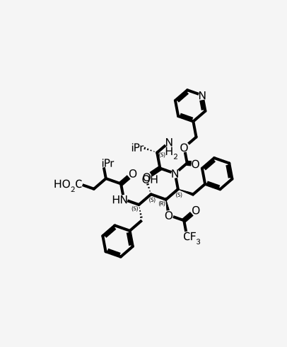 CC(C)C(CC(=O)O)C(=O)N[C@@H](Cc1ccccc1)[C@H](O)[C@H](OC(=O)C(F)(F)F)[C@H](Cc1ccccc1)N(C(=O)OCc1cccnc1)C(=O)[C@@H](N)C(C)C